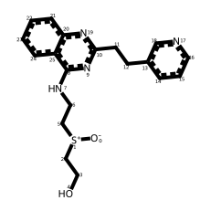 [O-][S+](CCO)CCNc1nc(CCc2cccnc2)nc2ccccc12